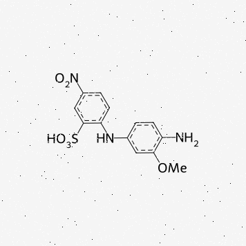 COc1cc(Nc2ccc([N+](=O)[O-])cc2S(=O)(=O)O)ccc1N